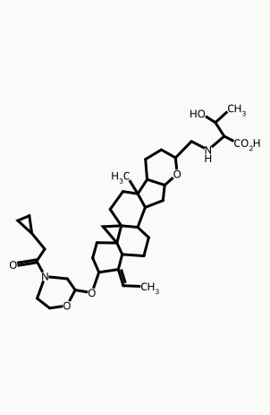 C/C=C1/C(OC2CN(C(=O)CC3CC3)CCO2)CCC23CC24CCC2(C)C5CCC(CNC(C(=O)O)C(C)O)OC5CC2C4CCC13